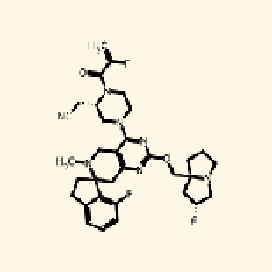 C=C(F)C(=O)N1CCN(c2nc(OC[C@@]34CCCN3C[C@H](F)C4)nc3c2CN(C)[C@]2(CCc4cccc(F)c42)C3)C[C@@H]1CC#N